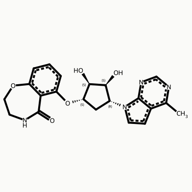 Cc1ncnc2c1ccn2[C@@H]1C[C@H](Oc2cccc3c2C(=O)NCCO3)[C@@H](O)[C@H]1O